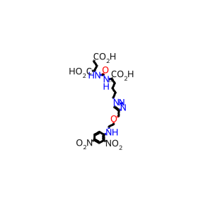 O=C(O)CCC(NC(=O)N[C@@H](CCCCn1cc(COCCNc2ccc([N+](=O)[O-])cc2[N+](=O)[O-])nn1)C(=O)O)C(=O)O